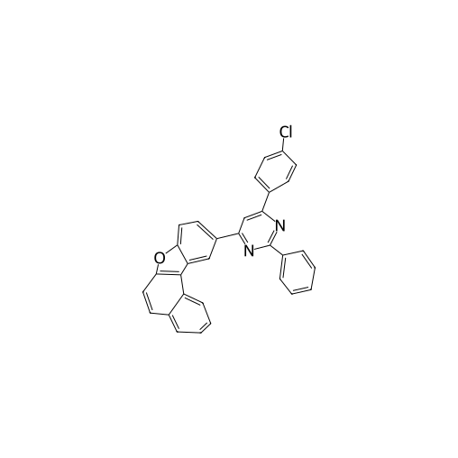 Clc1ccc(-c2cc(-c3ccc4oc5ccc6ccccc6c5c4c3)nc(-c3ccccc3)n2)cc1